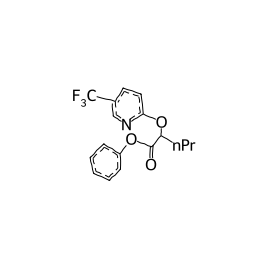 CCCC(Oc1ccc(C(F)(F)F)cn1)C(=O)Oc1ccccc1